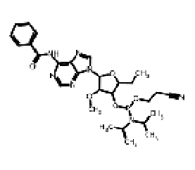 CCC1OC(n2cnc3c(NC(=O)c4ccccc4)ncnc32)C(OC)C1OP(OCCC#N)N(C(C)C)C(C)C